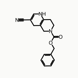 N#CC1=CNC2=C(C1)CN(C(=O)OCc1ccccc1)CC2